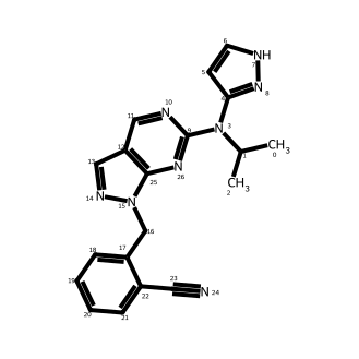 CC(C)N(c1cc[nH]n1)c1ncc2cnn(Cc3ccccc3C#N)c2n1